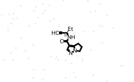 C#C[C@H](CC)NC(=O)c1cnn2c1CCC2